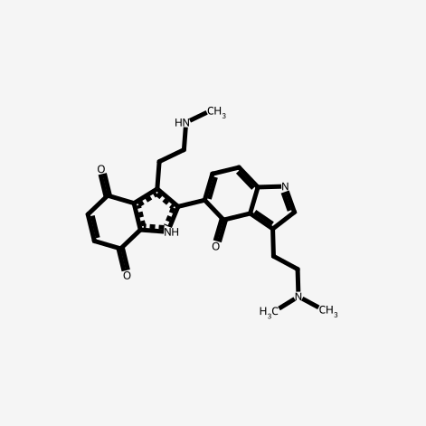 CNCCc1c(C2=CC=C3N=CC(CCN(C)C)=C3C2=O)[nH]c2c1C(=O)C=CC2=O